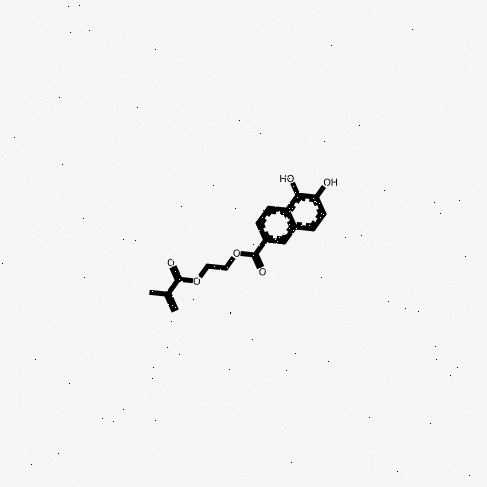 C=C(C)C(=O)OCCOC(=O)c1ccc2c(O)c(O)ccc2c1